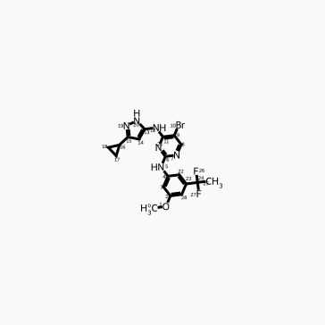 COc1cc(Nc2ncc(Br)c(Nc3cc(C4CC4)n[nH]3)n2)cc(C(C)(F)F)c1